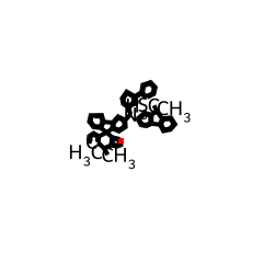 CC1(C)c2ccccc2-c2ccc(N(c3ccc4c(c3)-c3ccccc3C43c4ccccc4C(C)(C)c4ccccc43)c3cccc4c3sc3ccccc34)cc21